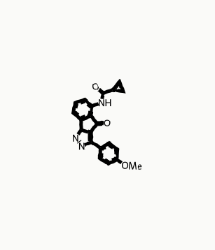 COc1ccc(C2=C3C(=O)c4c(NC(=O)C5CC5)cccc4C3N=N2)cc1